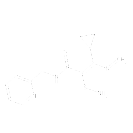 C=N/C(=C(\SN)C(=O)NCc1ccccn1)C1CC1